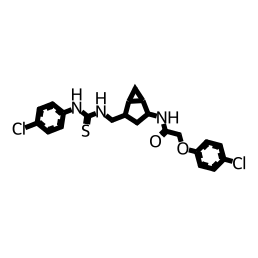 O=C(COc1ccc(Cl)cc1)NC1CC(CNC(=S)Nc2ccc(Cl)cc2)C2CC12